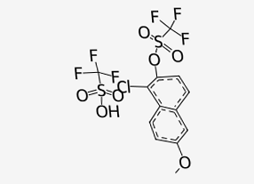 COc1ccc2c(Cl)c(OS(=O)(=O)C(F)(F)F)ccc2c1.O=S(=O)(O)C(F)(F)F